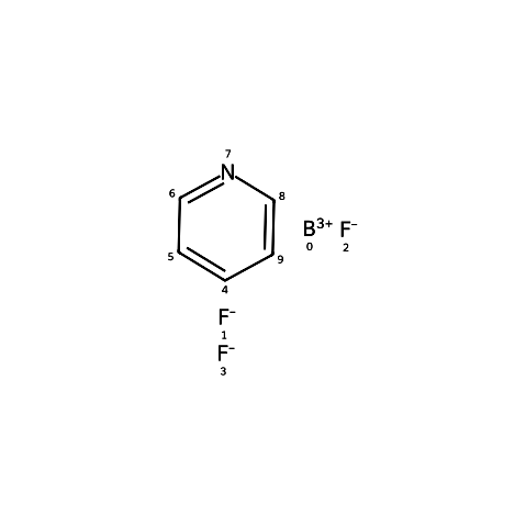 [B+3].[F-].[F-].[F-].c1ccncc1